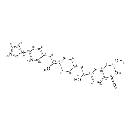 C[C@H]1Cc2cc(C(O)CN3CCN(C(=O)Cc4ccc(-n5cnnn5)nc4)CC3)ccc2C(=O)O1